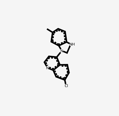 Cc1ccc2c(c1)N(c1ccnc3cc(Cl)ccc13)[CH]N2